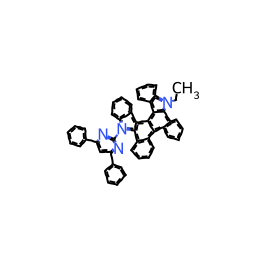 CCn1c2ccccc2c2c3c(c4ccccc4c21)c1ccccc1c1c3c2ccccc2n1-c1nc(-c2ccccc2)cc(-c2ccccc2)n1